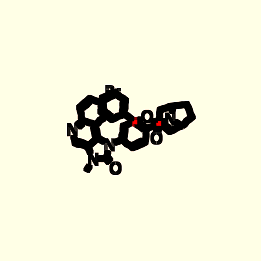 Cn1c(=O)n(-c2ccc(C3=CC4CCC(C3)N4C(=O)OCc3ccccc3)cc2)c2c3cc(Br)ccc3ncc21